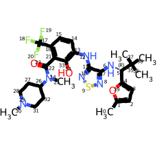 Cc1ccc([C@H](Nc2nsnc2Nc2ccc(C(F)(F)F)c(C(=O)N(C)C3CCN(C)CC3)c2O)C(C)(C)C)o1